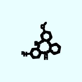 [2H]c1ccc2[nH]c3ccccc3c3ccc(OC)cc3[se]c2c1